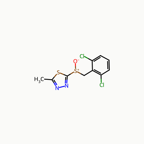 Cc1nnc([S+]([O-])Cc2c(Cl)cccc2Cl)s1